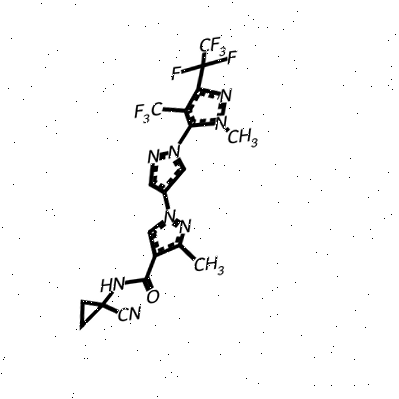 Cc1nn(-c2cnn(-c3c(C(F)(F)F)c(C(F)(F)C(F)(F)F)nn3C)c2)cc1C(=O)NC1(C#N)CC1